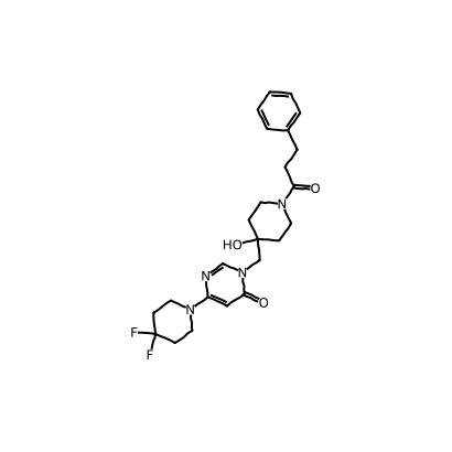 O=C(CCc1ccccc1)N1CCC(O)(Cn2cnc(N3CCC(F)(F)CC3)cc2=O)CC1